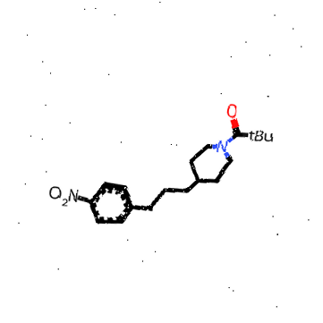 CC(C)(C)C(=O)N1CCC(CCCc2ccc([N+](=O)[O-])cc2)CC1